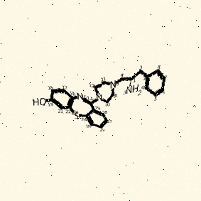 N[C@@H](Cc1ccccc1)CN1CCN(C2=Nc3ccc(O)cc3Sc3ccccc32)CC1